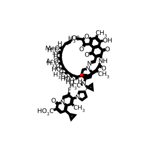 CO[C@H]1/C=C/O[C@@]2(C)Oc3c(C)c(O)c4c(c3C2=O)C(=O)C(/C=N/N2CCC(N(C)C3([C@@H]5CCN(c6c(F)cn7c(=O)c(C(=O)O)cc(C8CC8)c7c6C)C5)CC3)CC2)=C(NC(=O)/C(C)=C\C=C\[C@H](C)[C@H](O)[C@@H](C)[C@@H](O)[C@@H](C)[C@H](OC(C)=O)[C@@H]1C)C4=O